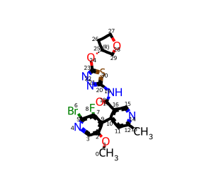 COc1cnc(Br)c(F)c1-c1cc(C)ncc1C(=O)Nc1nnc(O[C@@H]2CCOC2)s1